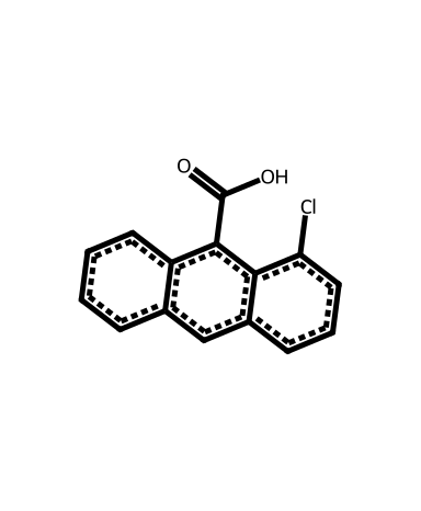 O=C(O)c1c2ccccc2cc2cccc(Cl)c12